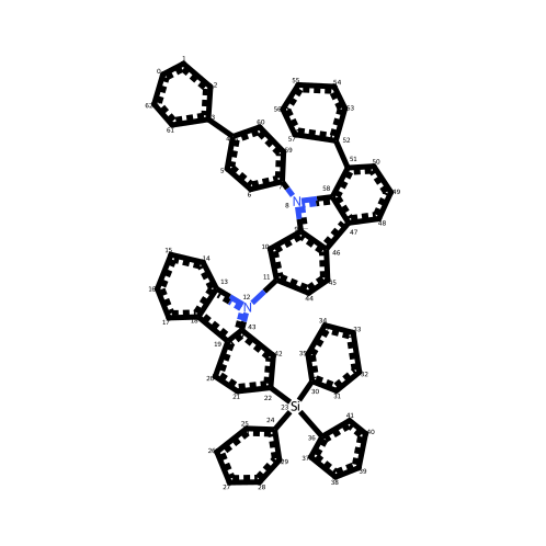 c1ccc(-c2ccc(-n3c4cc(-n5c6ccccc6c6ccc([Si](c7ccccc7)(c7ccccc7)c7ccccc7)cc65)ccc4c4cccc(-c5ccccc5)c43)cc2)cc1